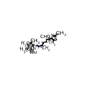 C=C(C)[C@H](C/C=C(/C)CCC[C@](C)(C=O)c1csc(C)n1)O[Si](C)(C)C(C)(C)C